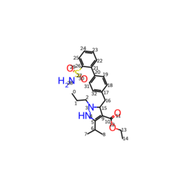 CCCN1NC(C(C)C)=C(C(=O)OCC)C1Cc1ccc(-c2ccccc2S(N)(=O)=O)cc1